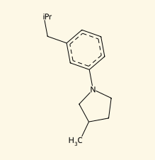 CC(C)Cc1cccc(N2CCC(C)C2)c1